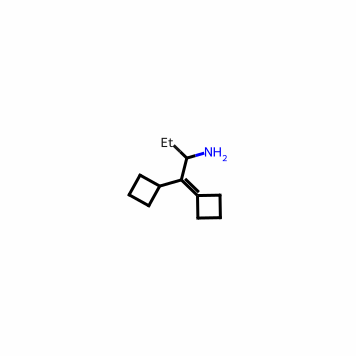 CCC(N)C(=C1CCC1)C1CCC1